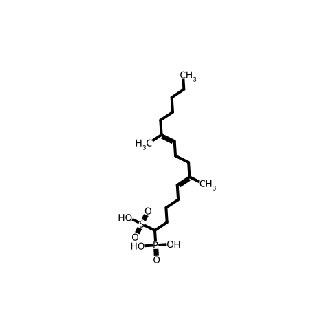 CCCCCC(C)=CCCC(C)=CCCCC(P(=O)(O)O)S(=O)(=O)O